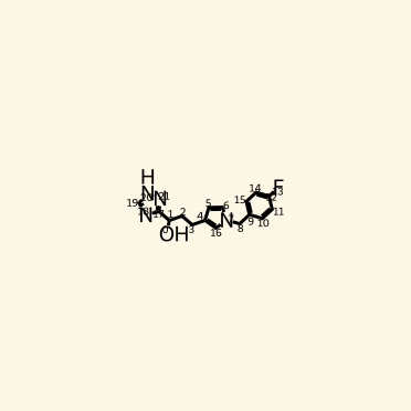 OC(CCc1ccn(Cc2ccc(F)cc2)c1)c1nc[nH]n1